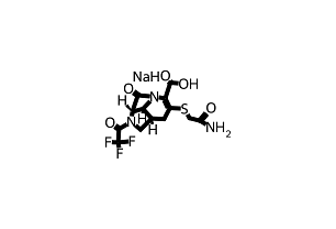 NC(=O)CSC1=C(C(=O)O)N2C(=O)[C@@H]3[C@H]2[C@H](C1)CN3C(=O)C(F)(F)F.[NaH]